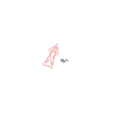 B12B3[B-]14B1B4[B-]231.[Yb+2]